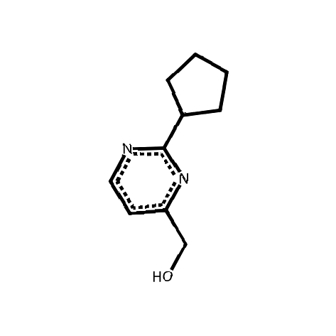 OCc1ccnc(C2CCCC2)n1